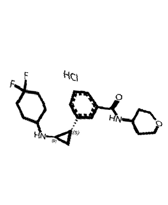 Cl.O=C(NC1CCOCC1)c1cccc([C@@H]2C[C@H]2NC2CCC(F)(F)CC2)c1